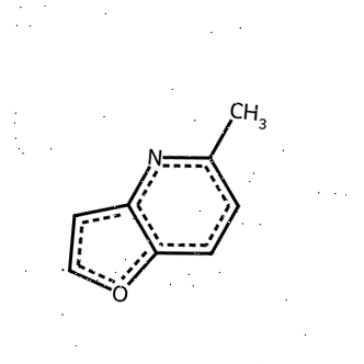 Cc1ccc2o[c]cc2n1